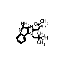 CC(C)(O)Cn1c(CS(C)(=O)=O)nc2c(N)nc3ccccc3c21